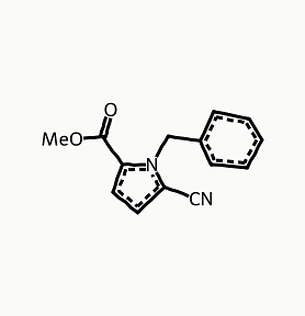 COC(=O)c1ccc(C#N)n1Cc1ccccc1